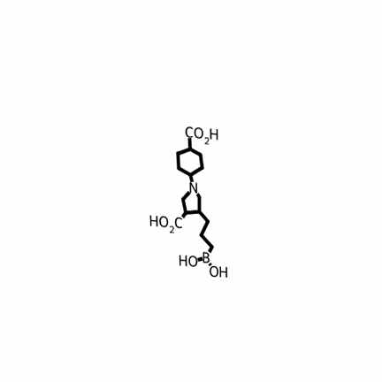 O=C(O)C1CCC(N2CC(CCCB(O)O)C(C(=O)O)C2)CC1